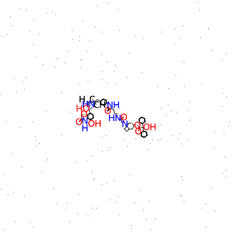 CC(C)(Cc1ccc(NC(=O)CCCNC(=O)CN2C3CC(OC(=O)C(O)(c4ccccc4)c4ccccc4)CC4CCC432)cc1)NCC(O)c1ccc(O)c2c1OCC(=O)N2